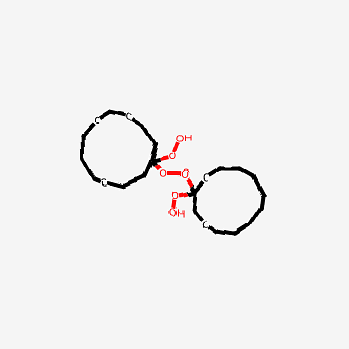 OOC1(OOC2(OO)CCCCCCCCCCC2)CCCCCCCCCCC1